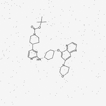 CC(C)(C)OC(=O)N1CCC(c2ccnc(N[C@H]3CC[C@@H](Oc4cc(N5CCOCC5)cc5nccnc45)CC3)n2)CC1